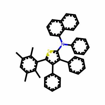 Cc1cc(C)c(C)c(-c2sc(N(c3ccccc3)c3cccc4ccccc34)c(-c3ccccc3)c2-c2ccccc2)c1C